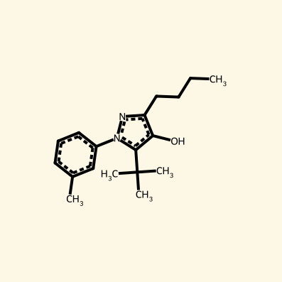 CCCCc1nn(-c2cccc(C)c2)c(C(C)(C)C)c1O